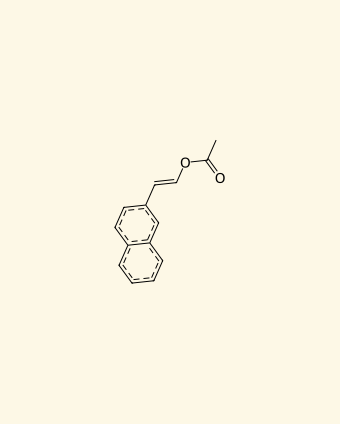 CC(=O)OC=Cc1ccc2ccccc2c1